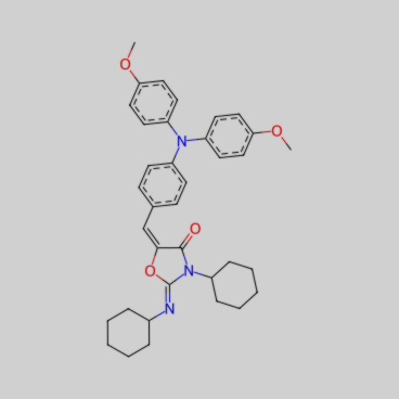 COc1ccc(N(c2ccc(/C=C3/OC(=NC4CCCCC4)N(C4CCCCC4)C3=O)cc2)c2ccc(OC)cc2)cc1